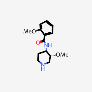 COc1ccccc1C(=O)N[C@H]1CCNC[C@H]1OC